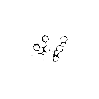 CC1(C)c2ccccc2-c2c(-c3ccccc3)nc(-n3c4ccccc4c4cc5oc6ccccc6c5cc43)nc21